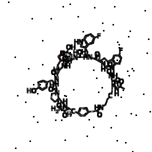 CC(=O)N[C@@H]1CCCCNC(=O)c2ccc(cc2)C[C@@H](C(N)=O)NC(=O)[C@]2(C)CCCN2C(=O)[C@H](Cc2ccc(O)cc2)NC(=O)[C@H](Cc2cnc[nH]2)NC(=O)[C@H](CC(=O)O)NC(=O)[C@H](Cc2c[nH]c3ccc(F)cc23)NC(=O)[C@H](Cc2c[nH]c3ccc(F)cc23)NC(=O)CNC1=O